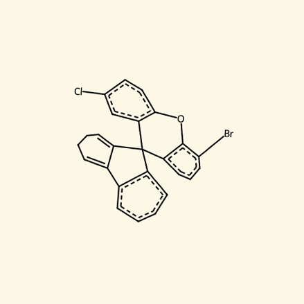 Clc1ccc2c(c1)C1(C3=CCCC=C3c3ccccc31)c1cccc(Br)c1O2